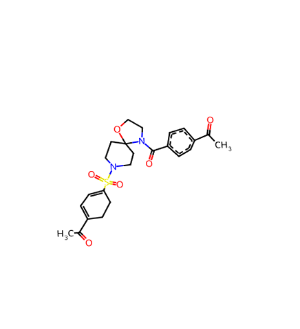 CC(=O)C1=CC=C(S(=O)(=O)N2CCC3(CC2)OCCN3C(=O)c2ccc(C(C)=O)cc2)CC1